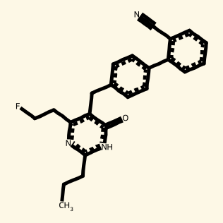 CCCc1nc(CCF)c(Cc2ccc(-c3ccccc3C#N)cc2)c(=O)[nH]1